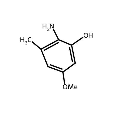 COc1cc(C)c(N)c(O)c1